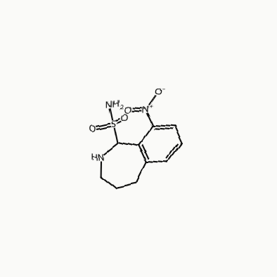 NS(=O)(=O)C1NCCCc2cccc([N+](=O)[O-])c21